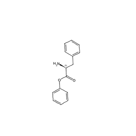 N[C@@H](Cc1ccccc1)C(=O)Oc1ccccc1